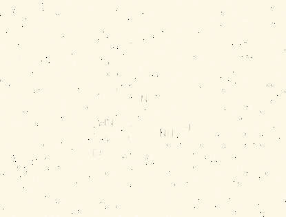 CCS(=O)(=O)NCC(=O)N(c1cccc(F)c1)C(C(=O)NC1CCCCC1)c1ccccc1C